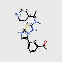 CC(=O)c1cccc(-c2cnc3sc(N(C)C(C)C4CCNCC4)nn23)c1